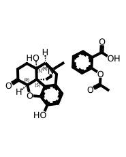 CC(=O)Oc1ccccc1C(=O)O.CN1CC[C@]23c4c5ccc(O)c4O[C@H]2C(=O)CC[C@@]3(O)[C@H]1C5